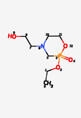 CCOP1(=O)CN(CCO)CCO1